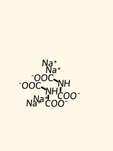 O=C([O-])NC(=O)[O-].O=C([O-])NC(=O)[O-].[Na+].[Na+].[Na+].[Na+]